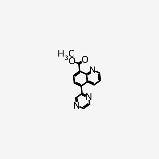 COC(=O)c1ccc(-c2cnccn2)c2cccnc12